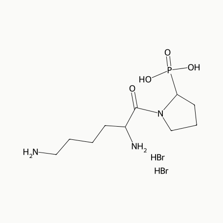 Br.Br.NCCCCC(N)C(=O)N1CCCC1P(=O)(O)O